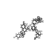 Cc1ccc(S(=O)(=O)Oc2cc(N3CCc4c(nc(OC[C@@]56CCCN5C[C@H](F)C6)nc4N4CCCC5(CNS(=O)(=O)N5)C4)C3)c3c(C)c(F)ccc3c2)cc1